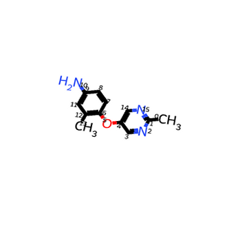 Cc1ncc(Oc2ccc(N)cc2C)cn1